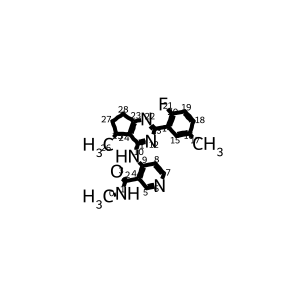 CNC(=O)c1cnccc1Nc1nc(-c2cc(C)ccc2F)nc2c1C(C)CC2